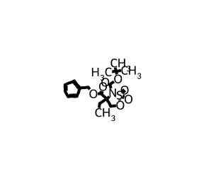 CCC1(C(=O)OCc2ccccc2)COS(=O)(=O)N1C(=O)OC(C)(C)C